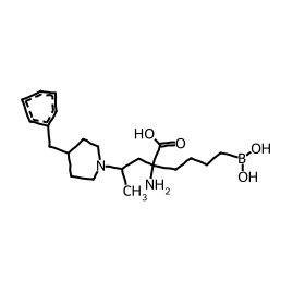 CC(CC(N)(CCCCB(O)O)C(=O)O)N1CCC(Cc2ccccc2)CC1